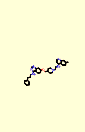 Cc1ccc2c(NCCN3CCC(COc4ccc5c(NCCCc6ccccc6)ncnc5c4)CC3)ccnc2c1